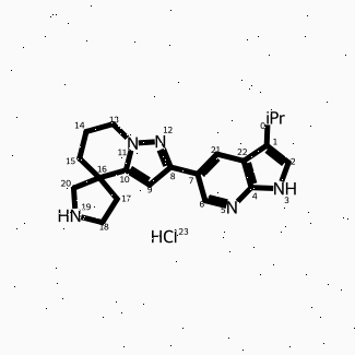 CC(C)c1c[nH]c2ncc(-c3cc4n(n3)CCCC43CCNC3)cc12.Cl